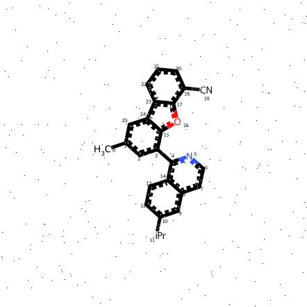 Cc1cc(-c2nccc3cc(C(C)C)ccc23)c2oc3c(C#N)cccc3c2c1